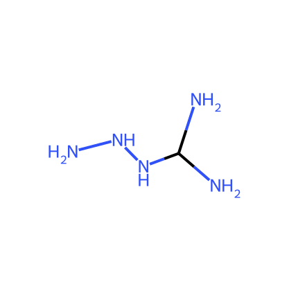 NNNC(N)N